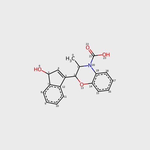 CC1C(C2=CC(O)c3ccccc32)Oc2ccccc2N1C(=O)O